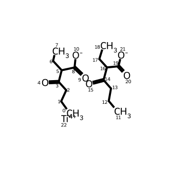 CCCC(=O)C(CC)C(=O)[O-].CCCC(=O)C(CC)C(=O)[O-].[Ti+4]